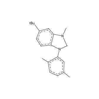 Cc1ccc(C)c(N2CN(C)c3cc(C(C)(C)C)ccc32)c1